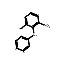 Cc1cccc([N+](=O)[O-])c1Oc1ccccc1